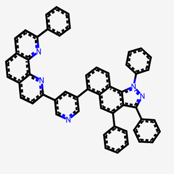 c1ccc(-c2ccc3ccc4ccc(-c5cncc(-c6cccc7c6cc(-c6ccccc6)c6c(-c8ccccc8)nn(-c8ccccc8)c67)c5)nc4c3n2)cc1